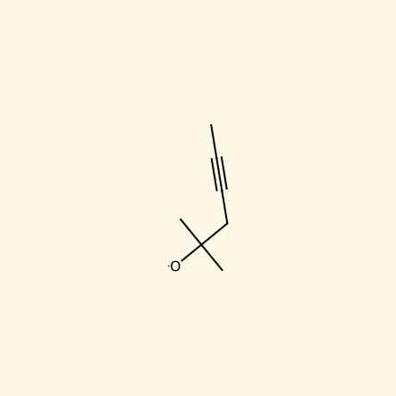 CC#CCC(C)(C)[O]